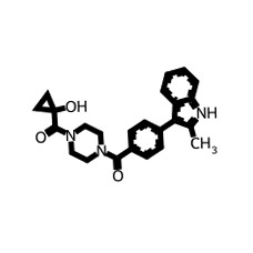 Cc1[nH]c2ccccc2c1-c1ccc(C(=O)N2CCN(C(=O)C3(O)CC3)CC2)cc1